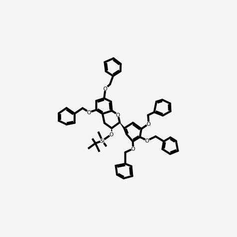 CC(C)(C)[Si](C)(C)O[C@@H]1Cc2c(OCc3ccccc3)cc(OCc3ccccc3)cc2O[C@H]1c1cc(OCc2ccccc2)c(OCc2ccccc2)c(OCc2ccccc2)c1